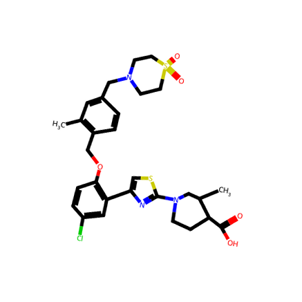 Cc1cc(CN2CCS(=O)(=O)CC2)ccc1COc1ccc(Cl)cc1-c1csc(N2CCC(C(=O)O)C(C)C2)n1